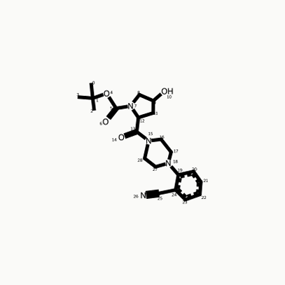 CC(C)(C)OC(=O)N1CC(O)CC1C(=O)N1CCN(c2ccccc2C#N)CC1